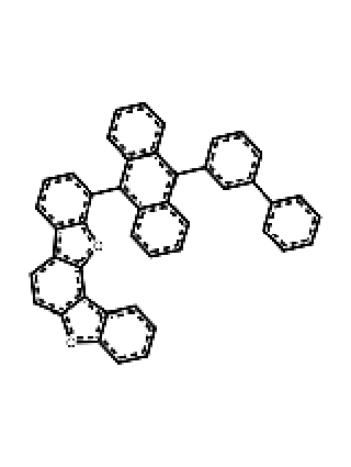 c1ccc(-c2cccc(-c3c4ccccc4c(-c4cccc5c4oc4c5ccc5oc6ccccc6c54)c4ccccc34)c2)cc1